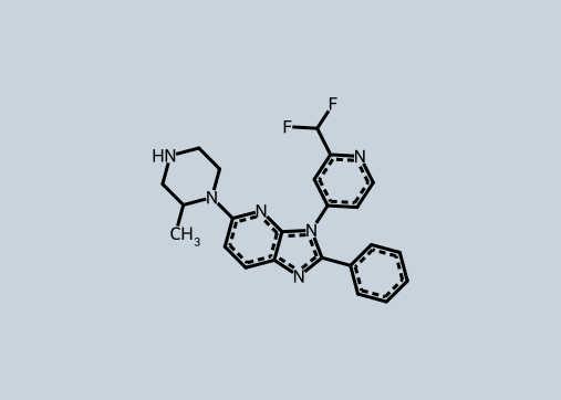 CC1CNCCN1c1ccc2nc(-c3ccccc3)n(-c3ccnc(C(F)F)c3)c2n1